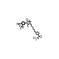 CC1(C)C(=O)N(c2ccc(C#N)c(C(F)(F)F)c2)C(=S)N1CCCCCCN1CCC(C(N)=O)C1